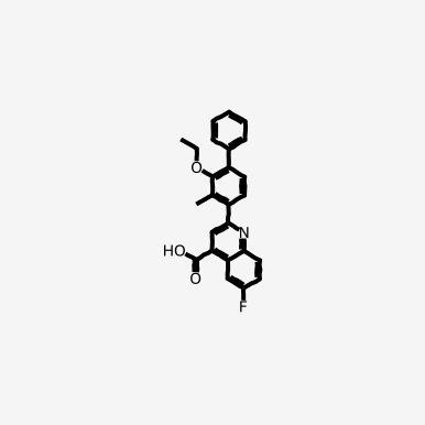 CCOc1c(-c2ccccc2)ccc(-c2cc(C(=O)O)c3cc(F)ccc3n2)c1C